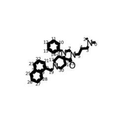 CN(C)CCCN1CN(c2ccccc2)C2(CCN(Cc3cccc4ccccc34)CC2)C1=O